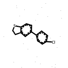 Clc1ccc(-c2ccc3c(c2)CCS3)cc1